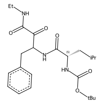 CCNC(=O)C(=O)C(Cc1ccccc1)NC(=O)[C@H](CC(C)C)NC(=O)OC(C)(C)C